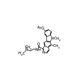 CC(=O)Oc1ccc2c(c1)c1cc3c(C(=O)NCCN(C)C)nccc3c(C)c1n2C